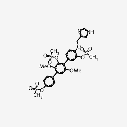 COc1cc(-c2ccc(OS(C)(=O)=O)cc2)c(OC)c(OS(C)(=O)=O)c1-c1ccc(OCc2c[nH]cn2)c(OS(C)(=O)=O)c1